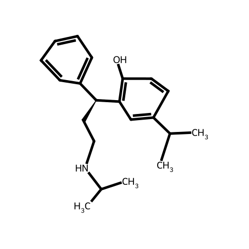 CC(C)NCC[C@@H](c1ccccc1)c1cc(C(C)C)ccc1O